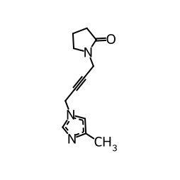 Cc1cn(CC#CCN2CCCC2=O)cn1